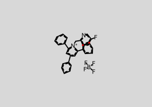 F[B-](F)(F)F.Fc1ccc(C[n+]2c(-c3ccccc3)cc(-c3ccccc3)cc2-c2ccccc2)nc1